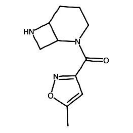 Cc1cc(C(=O)N2CCCC3NCC32)no1